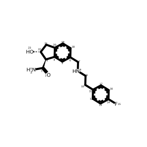 NC(=O)[C@@H]1c2cc(CNCCc3ccc(F)cc3)ccc2C[C@H]1O